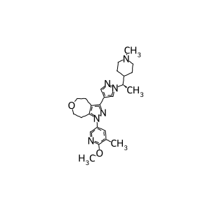 COc1ncc(-n2nc(-c3cnn([C@H](C)C4CCN(C)CC4)c3)c3c2CCOCC3)cc1C